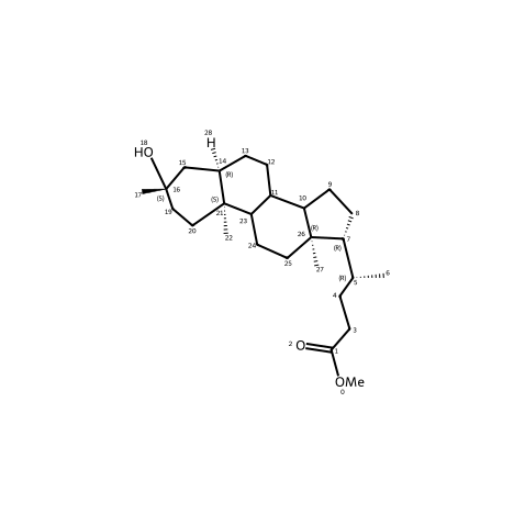 COC(=O)CC[C@@H](C)[C@H]1CCC2C3CC[C@@H]4C[C@@](C)(O)CC[C@]4(C)C3CC[C@@]21C